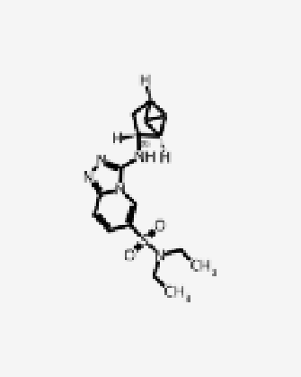 CCN(CC)S(=O)(=O)c1ccc2nnc(N[C@@H]3C[C@H]4C5C4[C@H]53)n2c1